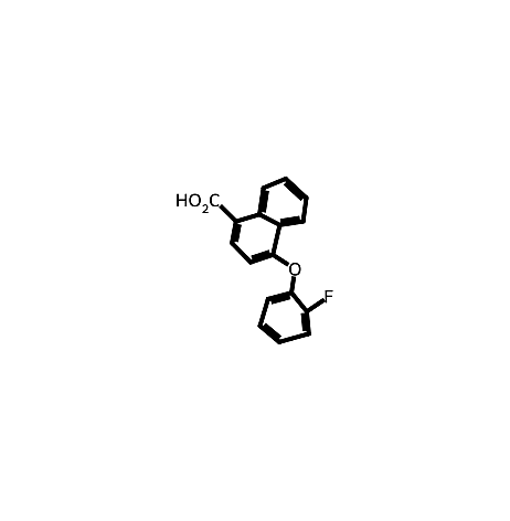 O=C(O)c1ccc(Oc2ccccc2F)c2ccccc12